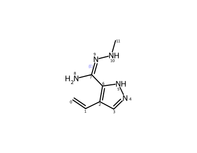 C=Cc1cn[nH]c1/C(N)=N\NC